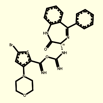 N=C(N[C@H]1N=C(c2ccccc2)c2ccccc2NC1=O)OC(=N)c1sc(Br)cc1N1CCOCC1